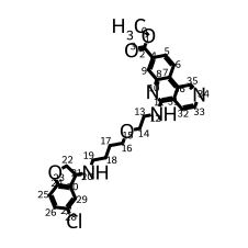 COC(=O)c1ccc2c(c1)nc(NCCOCCCCNC1COc3ccc(Cl)cc31)c1ccncc12